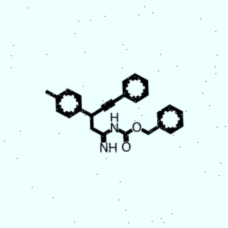 Cc1ccc(C(C#Cc2ccccc2)CC(=N)NC(=O)OCc2ccccc2)cc1